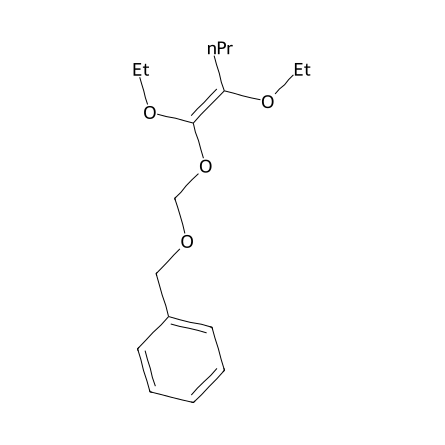 CCCC(OCC)=C(OCC)OCOCc1ccccc1